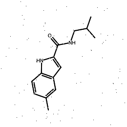 Cc1ccc2[nH]c(C(=O)NCC(C)C)cc2c1